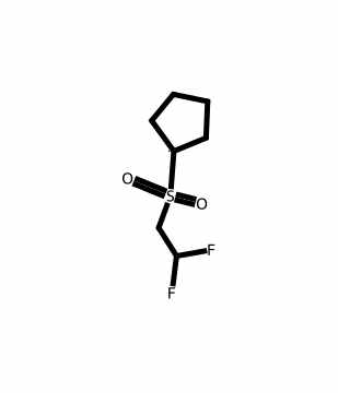 O=S(=O)(CC(F)F)[C]1CCCC1